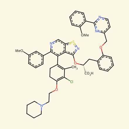 COc1cccc(-c2ncc3snc(O[C@H](Cc4ccccc4OCc4ccnc(-c5ccccc5OC)n4)C(=O)O)c3c2C2=C(C)C(Cl)=C(OCCN3CCCCC3)CC2)c1